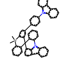 C[Si]1(C)c2ccccc2C2(c3ccccc3-n3c4ccccc4c4cccc2c43)c2cc(-c3ccc(-n4c5ccccc5c5ccccc54)cc3)ccc21